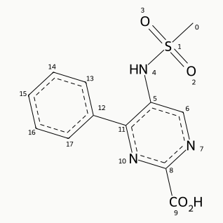 CS(=O)(=O)Nc1cnc(C(=O)O)nc1-c1ccccc1